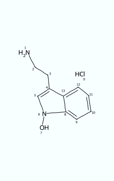 Cl.NCCc1cn(O)c2ccccc12